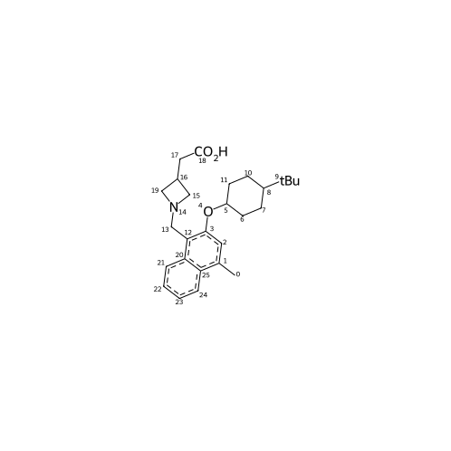 Cc1cc(OC2CCC(C(C)(C)C)CC2)c(CN2CC(CC(=O)O)C2)c2ccccc12